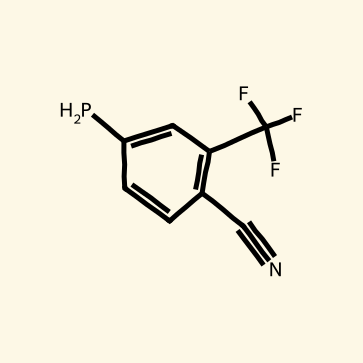 N#Cc1ccc(P)cc1C(F)(F)F